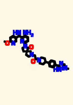 CN/C=N\C(=N)c1ccc(C2CCN(C(=O)CN3CC[C@]4(CCN(c5ccc(N)c(C(=N)c6ccc(OC)nc6)n5)C4=O)C3)CC2)cc1